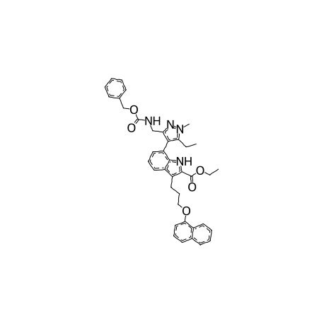 CCOC(=O)c1[nH]c2c(-c3c(CNC(=O)OCc4ccccc4)nn(C)c3CC)cccc2c1CCCOc1cccc2ccccc12